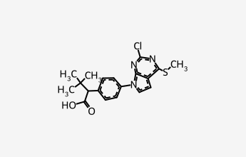 CSc1nc(Cl)nc2c1ccn2-c1ccc(C(C(=O)O)C(C)(C)C)cc1